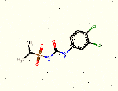 CC(C)S(=O)(=O)NC(=O)Nc1ccc(Cl)c(Cl)c1